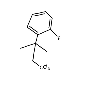 CC(C)(CC(Cl)(Cl)Cl)c1ccccc1F